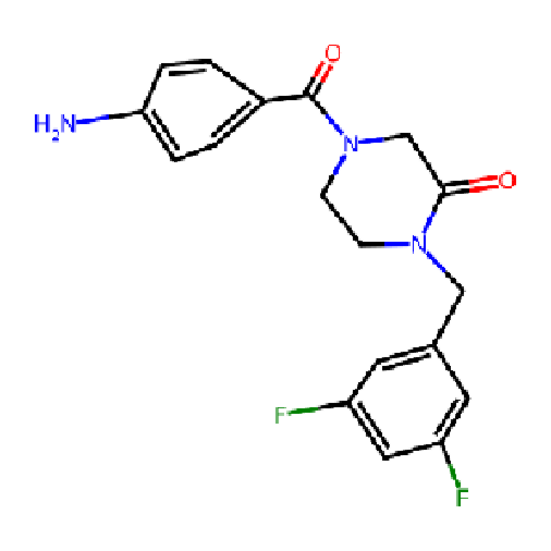 Nc1ccc(C(=O)N2CCN(Cc3cc(F)cc(F)c3)C(=O)C2)cc1